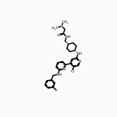 CN(C)CC(=O)NC[C@H]1CC[C@H](Nc2cc(-c3cccc(NCc4cccc(F)c4)n3)c(Cl)cn2)CC1